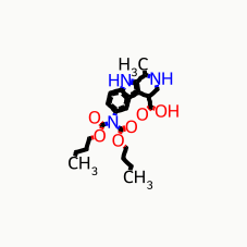 CCCCOC(=O)N(C(=O)OCCCC)c1ccc2[nH]c3c(c2c1)C(C(=O)O)CNC3C